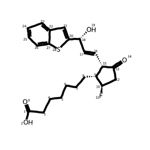 O=C(O)CCCCCC[C@H]1[C@H](F)CC(=O)[C@H]1C=C[C@@H](O)c1cc2ccccc2s1